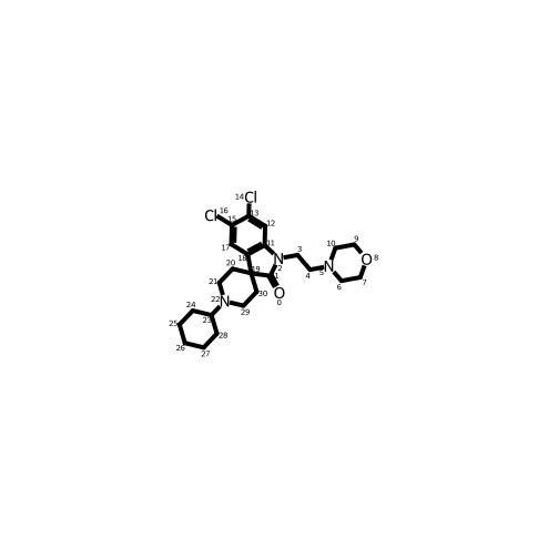 O=C1N(CCN2CCOCC2)c2cc(Cl)c(Cl)cc2C12CCN(C1CCCCC1)CC2